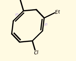 CC/C1=C/C(Cl)C=C/C=C(/C)C1